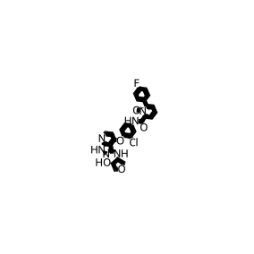 O=C(Nc1ccc(Oc2ccnc3[nH]nc(N[C@H]4COC[C@@H]4O)c23)c(Cl)c1)c1cccc(-c2ccc(F)cc2)[n+]1[O-]